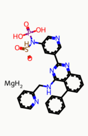 O=[SH](=O)N(c1cncc(-c2nc(NCc3ccccn3)c3c(-c4ccccc4)cccc3n2)c1)P(=O)(O)O.[MgH2]